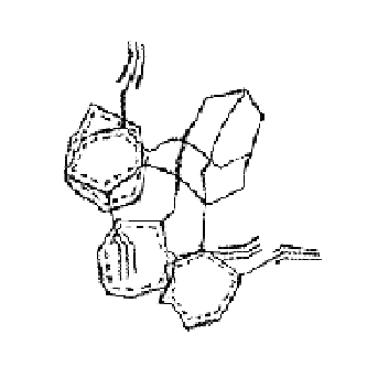 C#Cc1ccccc1C12CC3CC(C1)CC(c1ccccc1C#C)(C3)C2(c1ccccc1C#C)c1ccccc1C#C